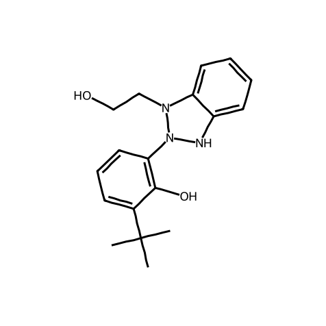 CC(C)(C)c1cccc(N2Nc3ccccc3N2CCO)c1O